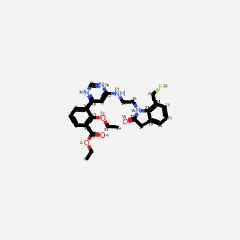 CCOC(=O)c1cccc(-c2cc(NCCN3C(=O)Cc4cccc(CF)c43)ncn2)c1OCC